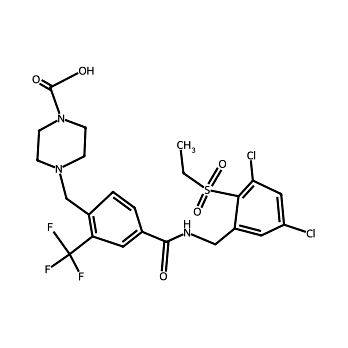 CCS(=O)(=O)c1c(Cl)cc(Cl)cc1CNC(=O)c1ccc(CN2CCN(C(=O)O)CC2)c(C(F)(F)F)c1